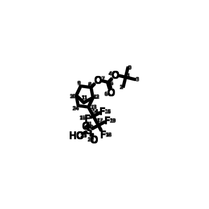 CC(C)(C)OC(=O)OC1CC2CC1C(C(F)(F)C(F)(F)S(=O)(=O)O)C2